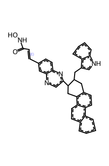 O=C(/C=C/c1ccc2nc(C3Cc4c(ccc5c4ccc4ccccc45)CC3Cc3c[nH]c4ccccc34)cnc2c1)NO